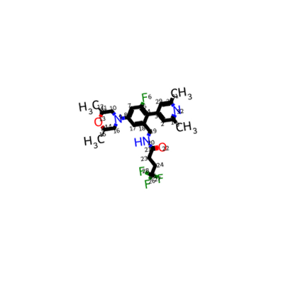 Cc1cc(-c2c(F)cc(N3C[C@@H](C)O[C@@H](C)C3)cc2CNC(=O)CCC(F)(F)F)cc(C)n1